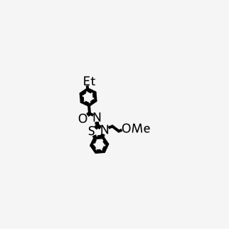 CCc1ccc(C(=O)/N=c2\sc3ccccc3n2CCOC)cc1